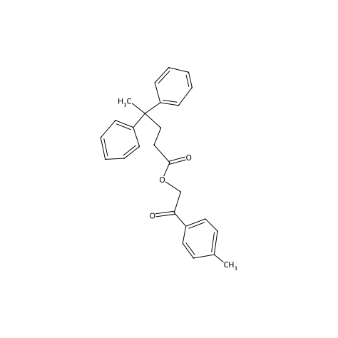 Cc1ccc(C(=O)COC(=O)CCC(C)(c2ccccc2)c2ccccc2)cc1